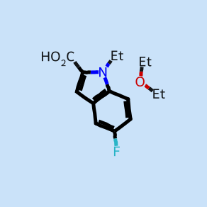 CCOCC.CCn1c(C(=O)O)cc2cc(F)ccc21